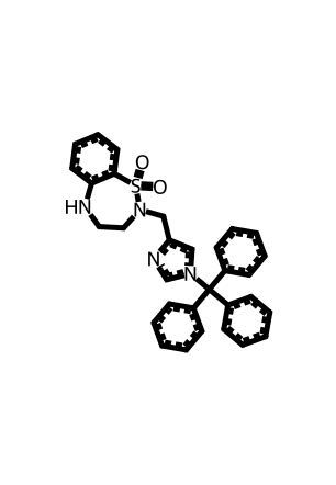 O=S1(=O)c2ccccc2NCCN1Cc1cn(C(c2ccccc2)(c2ccccc2)c2ccccc2)cn1